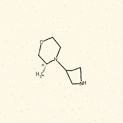 C[C@@H]1COCCN1C1CNC1